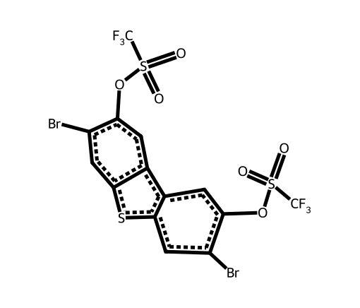 O=S(=O)(Oc1cc2c(cc1Br)sc1cc(Br)c(OS(=O)(=O)C(F)(F)F)cc12)C(F)(F)F